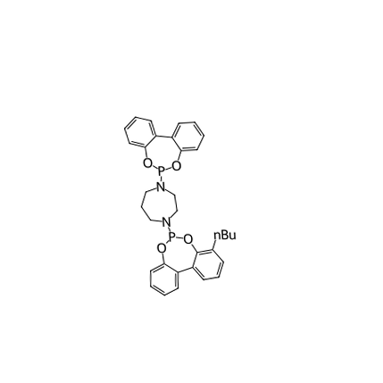 CCCCc1cccc2c1op(N1CCCN(p3oc4ccccc4c4ccccc4o3)CC1)oc1ccccc12